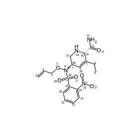 C=CCON([C@@H]1C=C(CC)[C@@H](C(N)=O)NC1)S(=O)(=O)c1ccccc1[N+](=O)[O-]